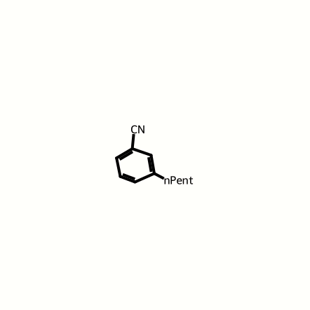 CCCCCc1cccc(C#N)c1